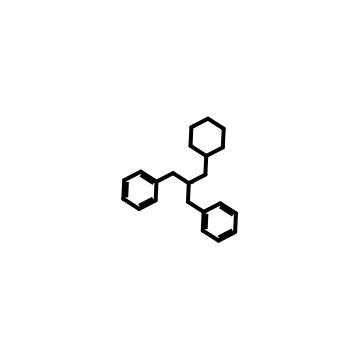 c1ccc(C[C](Cc2ccccc2)CC2CCCCC2)cc1